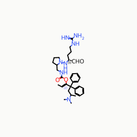 C/C=C(\OC(=O)NCC1CCCN1N[C@H](C=O)CCCNC(=N)N)C(CC(C)N(C)C)(c1ccccc1)c1ccccc1